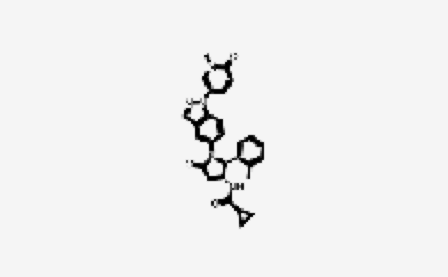 Cc1ccccc1[C@H]1[C@H](NC(=O)C2CC2)CC(=O)N1c1ccc2c(cnn2-c2ccc(=O)n(C)c2)c1